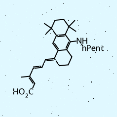 CCCCCNc1c2c(cc3c1C(C)(C)CCC3(C)C)C(=CC=CC(C)=CC(=O)O)CCC2